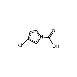 O=C(O)n1ccc(Cl)c1